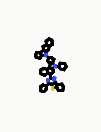 c1ccc(-c2nc(-c3cc4c(c5ccccc35)c3cc(-n5c6ccccc6c6cc7ccccc7cc65)ccc3n4-c3ccccc3)nc3c2sc2ccccc23)cc1